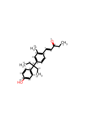 CCC(=O)C=Cc1ccc(C(CC)(CC)c2ccc(O)cc2)cc1C